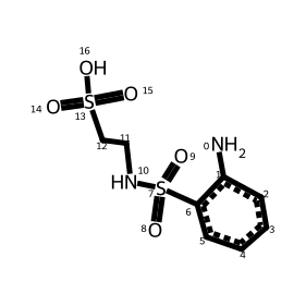 Nc1ccccc1S(=O)(=O)NCCS(=O)(=O)O